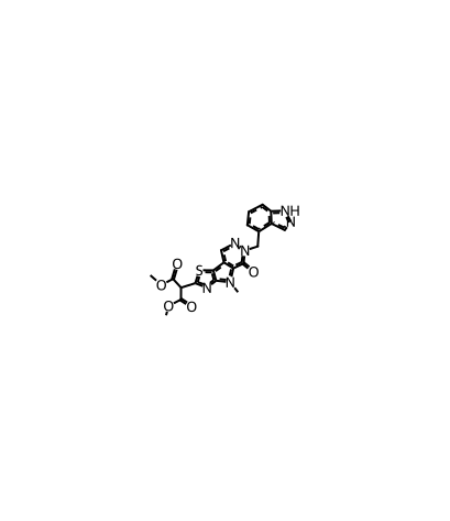 COC(=O)C(C(=O)OC)c1nc2c(s1)c1cnn(Cc3cccc4[nH]ncc34)c(=O)c1n2C